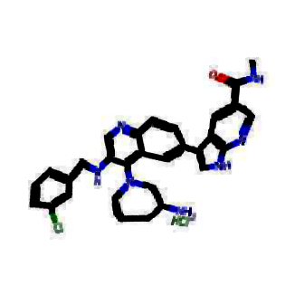 CNC(=O)c1cnc2[nH]cc(-c3ccc4ncc(NCc5cccc(Cl)c5)c(N5CCCC(N)C5)c4c3)c2c1.Cl